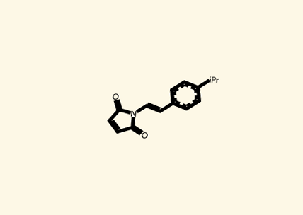 CC(C)c1ccc(C=CN2C(=O)C=CC2=O)cc1